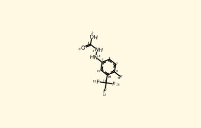 O=C(O)NNc1ccc(F)c(C(F)(F)F)c1